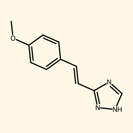 COc1ccc(C=Cc2nc[nH]n2)cc1